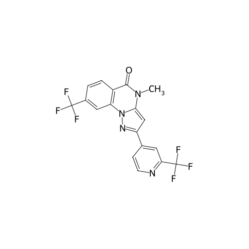 Cn1c(=O)c2ccc(C(F)(F)F)cc2n2nc(-c3ccnc(C(F)(F)F)c3)cc12